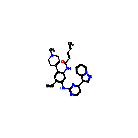 C=C/C=C/C(=O)Nc1cc(Nc2nccc(-c3cnn4ccccc34)n2)c(OC)cc1C1=CCN(C)CC1